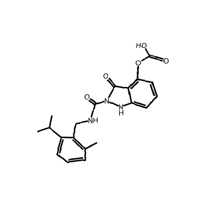 Cc1cccc(C(C)C)c1CNC(=O)n1[nH]c2cccc(OC(=O)O)c2c1=O